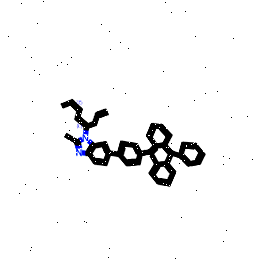 C=CC/C(=C\C=C/C)n1c(C)nc2ccc(-c3ccc(-c4c5ccccc5c(-c5ccccc5)c5ccccc45)cc3)cc21